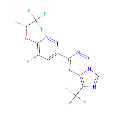 C[C@@H](Oc1ncc(-c2cc3c(C(C)(F)F)ncn3cn2)cc1F)C(F)(F)F